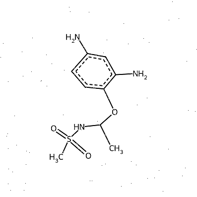 CC(NS(C)(=O)=O)Oc1ccc(N)cc1N